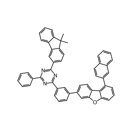 CC1(C)c2ccccc2-c2cc(-c3nc(-c4ccccc4)nc(-c4cccc(-c5ccc6c(c5)oc5cccc(-c7ccc8ccccc8c7)c56)c4)n3)ccc21